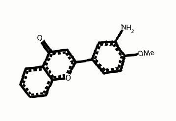 COc1ccc(-c2cc(=O)c3ccccc3o2)cc1N